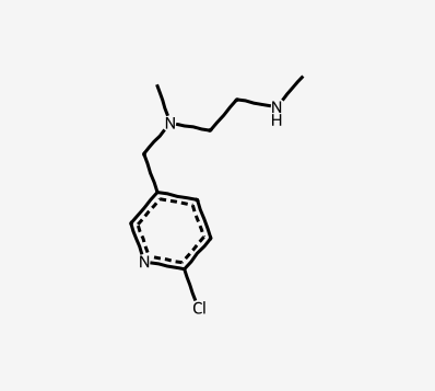 CNCCN(C)Cc1ccc(Cl)nc1